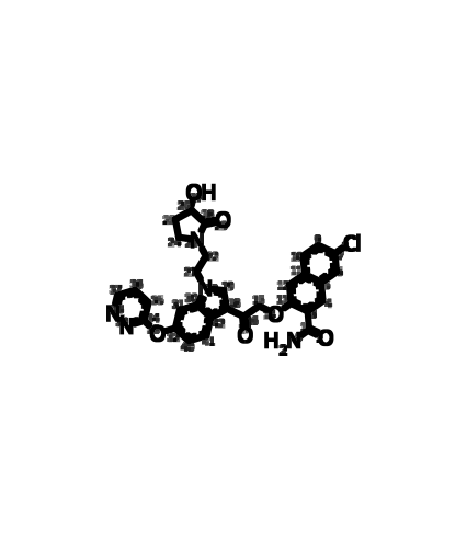 NC(=O)c1cc2cc(Cl)ccc2cc1OCC(=O)c1cn(CCN2CC[C@@H](O)C2=O)c2cc(Oc3cccnn3)ccc12